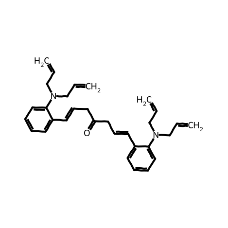 C=CCN(CC=C)c1ccccc1/C=C/CC(=O)C/C=C/c1ccccc1N(CC=C)CC=C